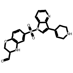 O=CC1COc2ccc(S(=O)(=O)n3cc(C4=CCNCC4)c4ncccc43)cc2N1